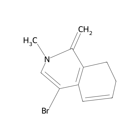 C=C1C2=C(C=CCC2)C(Br)=CN1C